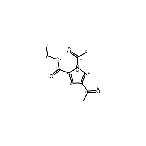 CCOC(=O)c1cc(C(C)=O)nn1C(C)=O